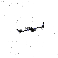 C=CC/C=C/N(C)C(=O)CCCCCCC/C=C/C(CSSCC(/C=C/CCCCCCCC(=O)N(C)/C=C/CC=C)NC(C)=O)NC(C)=O